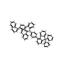 c1ccc(C2(c3ccccc3)c3ccccc3-c3c(-c4ccc(N(c5ccccc5-c5ccc(-c6cccc7ccccc67)cc5)c5cccc6ccccc56)cc4)cccc32)cc1